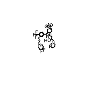 CS(=O)(=O)N1CCc2c(c(-c3ccc(C(F)(F)F)c(SCCN4CCC(F)(F)CC4)c3)nn2C[C@@H](O)CN2C=NCCC2)C1